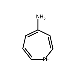 NC1=CC=CPC=C1